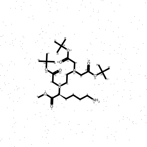 COC(=O)[C@H](CCCCN)N(CCN(CC(=O)OC(C)(C)C)CC(=O)OC(C)(C)C)CC(=O)OC(C)(C)C